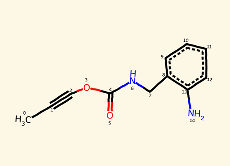 CC#COC(=O)NCc1ccccc1N